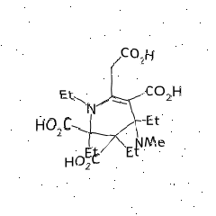 CCN1C(CC(=O)O)=C(C(=O)O)C(CC)(NC)C(CC)(C(=O)O)C1(CC)C(=O)O